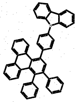 c1ccc(-c2cc(-c3ccc(-n4c5ccccc5c5ccccc54)cc3)c3c4ccccc4c4ccccc4c3c2-c2ccccc2)cc1